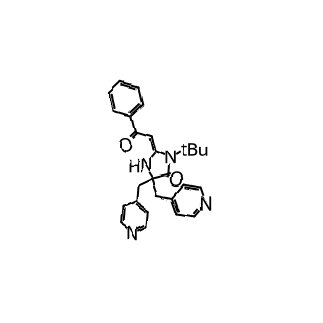 CC(C)(C)N1C(=O)C(Cc2ccncc2)(Cc2ccncc2)NC1=CC(=O)c1ccccc1